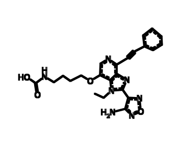 CCn1c(-c2nonc2N)nc2c(C#Cc3ccccc3)ncc(OCCCCNC(=O)O)c21